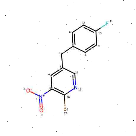 O=[N+]([O-])c1cc(Cc2ccc(F)cc2)cnc1Br